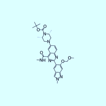 CNC(=O)c1nc(-c2cc3cn(C)nc3cc2OCOC)nc2ccc(N3C[C@@H](C)N(C(=O)OC(C)(C)C)[C@@H](C)C3)cc12